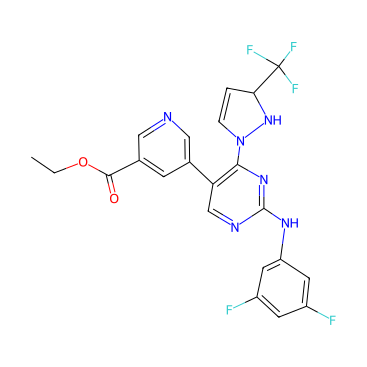 CCOC(=O)c1cncc(-c2cnc(Nc3cc(F)cc(F)c3)nc2N2C=CC(C(F)(F)F)N2)c1